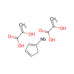 C=C(O)C(=O)O.C=C(O)C(=O)O.[Nb][C]1=CC=CC1